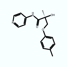 Cc1ccc(OC[C@](C)(O)C(=O)Nc2ccncc2)cc1